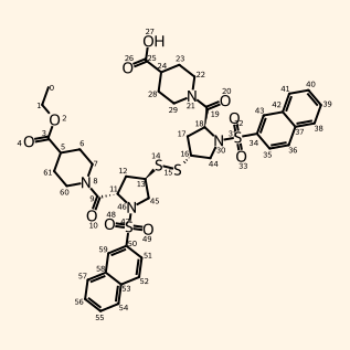 CCOC(=O)C1CCN(C(=O)[C@@H]2C[C@@H](SS[C@@H]3C[C@@H](C(=O)N4CCC(C(=O)O)CC4)N(S(=O)(=O)c4ccc5ccccc5c4)C3)CN2S(=O)(=O)c2ccc3ccccc3c2)CC1